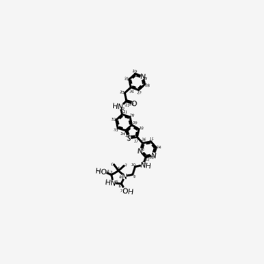 CC1(C)C(O)NC(O)N1CCNc1nccc(-c2cc3cc(NC(=O)Cc4ccncc4)ccc3s2)n1